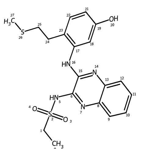 CCS(=O)(=O)Nc1nc2ccccc2nc1Nc1cc(O)ccc1CCSC